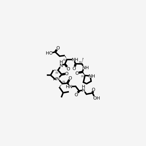 CC(C)C[C@H](NC(=O)[C@H](CC(C)C)NC(=O)[C@H](CCC(=O)O)NC(=O)[C@H](C)NC(=O)[C@@H]1CCCN1)C(=O)NCC(=O)NCC(=O)O